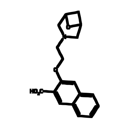 O=C(O)c1cc2ccccc2cc1OCCN1CC2CC(C1)O2